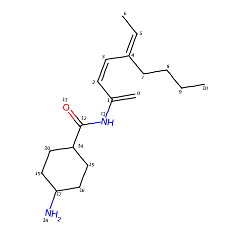 C=C(/C=C\C(=C/C)CCCC)NC(=O)C1CCC(N)CC1